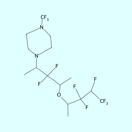 CC(OC(C)C(F)(F)C(F)C(F)(F)F)C(F)(F)C(C)N1CCN(C(F)(F)F)CC1